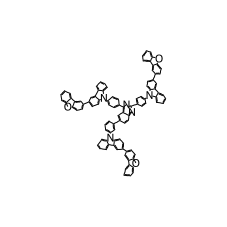 c1cc(-c2ccc3nc(-c4ccc(-n5c6ccccc6c6cc(-c7ccc8oc9ccccc9c8c7)ccc65)cc4)nc(-c4ccc(-n5c6ccccc6c6cc(-c7ccc8oc9ccccc9c8c7)ccc65)cc4)c3c2)cc(-n2c3ccccc3c3cc(-c4ccc5oc6ccccc6c5c4)ccc32)c1